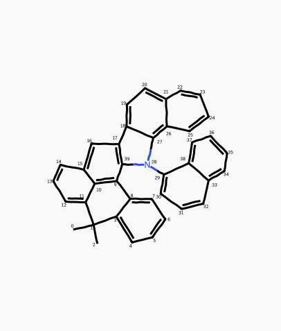 CC1(C)c2ccccc2-c2c3c1cccc3cc1c3ccc4ccccc4c3n(-c3cccc4ccccc34)c21